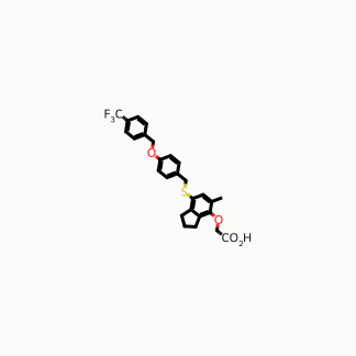 Cc1cc(SCc2ccc(OCc3ccc(C(F)(F)F)cc3)cc2)c2c(c1OCC(=O)O)CCC2